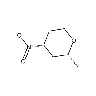 C[C@@H]1C[C@H]([N+](=O)[O-])CCO1